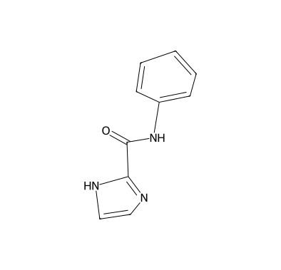 O=C(Nc1ccccc1)c1ncc[nH]1